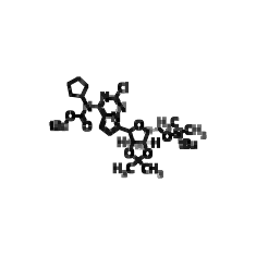 CC(C)(C)OC(=O)N(c1nc(Cl)nn2c(C3O[C@H](CO[Si](C)(C)C(C)(C)C)[C@H]4OC(C)(C)O[C@@H]34)ccc12)C1CCCC1